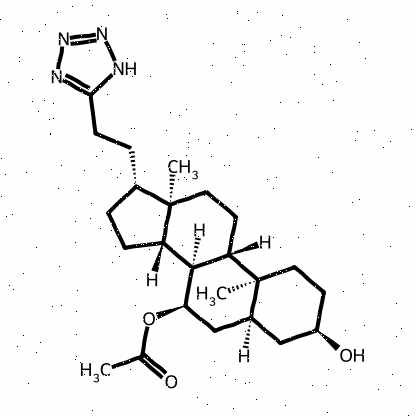 CC(=O)O[C@@H]1C[C@@H]2C[C@H](O)CC[C@]2(C)[C@H]2CC[C@]3(C)[C@@H](CCc4nnn[nH]4)CC[C@H]3[C@H]12